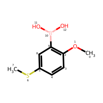 COc1ccc(SC)cc1B(O)O